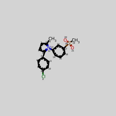 Cc1ccc(-c2ccc(Cl)cc2)n1-c1cccc(S(C)(=O)=O)c1